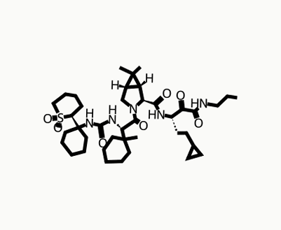 CCCNC(=O)C(=O)[C@H](CCC1CC1)NC(=O)[C@@H]1[C@@H]2[C@H](CN1C(=O)[C@@H](NC(=O)NC1([C@@H]3CCCCS3(=O)=O)CCCCC1)C1(C)CCCCC1)C2(C)C